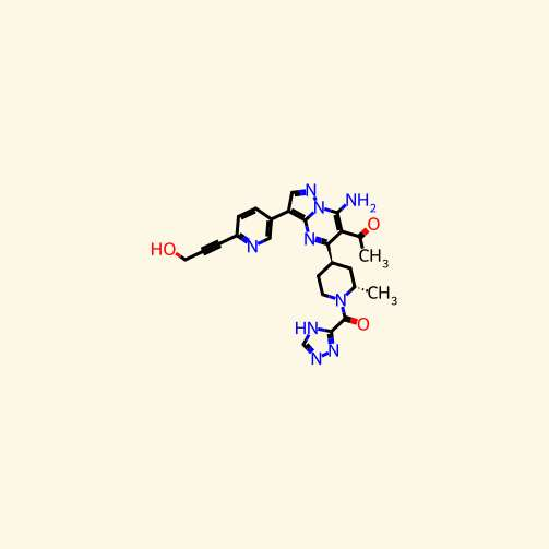 CC(=O)c1c([C@@H]2CCN(C(=O)c3nnc[nH]3)[C@@H](C)C2)nc2c(-c3ccc(C#CCO)nc3)cnn2c1N